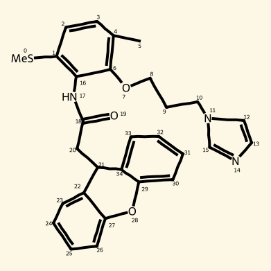 CSc1ccc(C)c(OCCCn2ccnc2)c1NC(=O)CC1c2ccccc2Oc2ccccc21